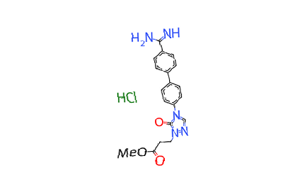 COC(=O)CCn1ncn(-c2ccc(-c3ccc(C(=N)N)cc3)cc2)c1=O.Cl